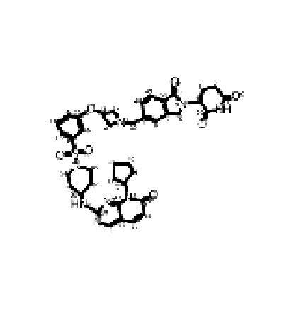 O=C1CCC(N2Cc3cc(CN4CC(Oc5cccc(S(=O)(=O)N6CCC(Nc7ncc8ccc(=O)n(C9CCCC9)c8n7)CC6)c5)C4)ccc3C2=O)C(=O)N1